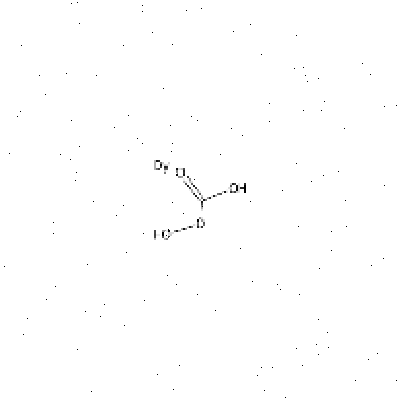 O=C(O)OO.[Dy]